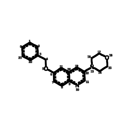 c1ccc(COc2ccc3ncc(N4CCOCC4)cc3c2)cc1